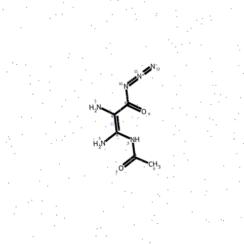 CC(=O)N/C(N)=C(/N)C(=O)N=[N+]=[N-]